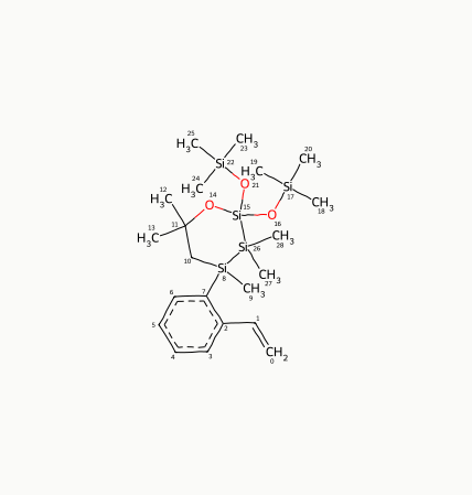 C=Cc1ccccc1[Si]1(C)CC(C)(C)O[Si](O[Si](C)(C)C)(O[Si](C)(C)C)[Si]1(C)C